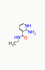 CCNC(=O)C1=CC=CN[C]1N